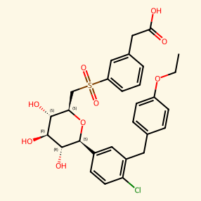 CCOc1ccc(Cc2cc([C@@H]3O[C@H](CS(=O)(=O)c4cccc(CC(=O)O)c4)[C@@H](O)[C@H](O)[C@H]3O)ccc2Cl)cc1